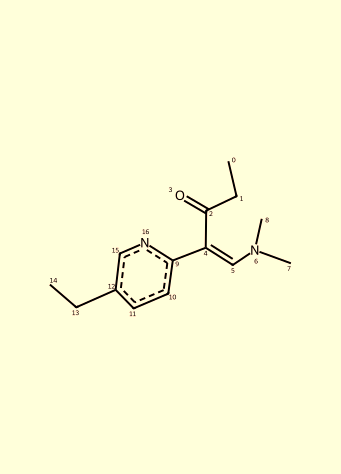 CCC(=O)C(=CN(C)C)c1ccc(CC)cn1